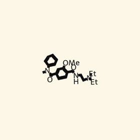 CCN(CC)CCNC(=O)c1ccc(C(=O)N(C)c2ccccc2)cc1OC